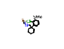 CSc1cccc(C2(CN=C=S)CCCCC2)c1Cl